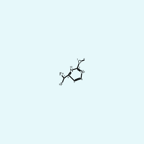 COc1nc[c]c(C(F)F)n1